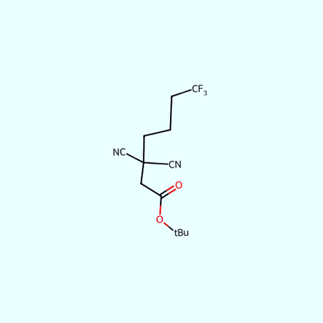 CC(C)(C)OC(=O)CC(C#N)(C#N)CCCC(F)(F)F